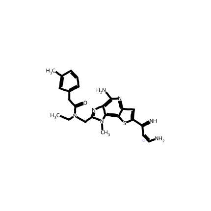 CCN(Cc1nc2c(N)nc3cc(C(=N)/C=C\N)sc3c2n1C)C(=O)Cc1cccc(C)c1